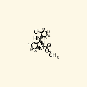 CCOC(=O)c1nc(Nc2ccccc2Cl)c2ccccc2n1